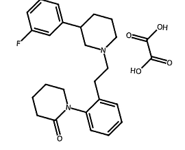 O=C(O)C(=O)O.O=C1CCCCN1c1ccccc1CCN1CCCC(c2cccc(F)c2)C1